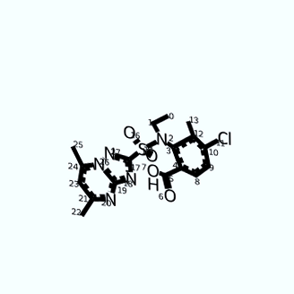 CCN(c1c(C(=O)O)ccc(Cl)c1C)S(=O)(=O)c1nc2nc(C)cc(C)n2n1